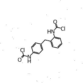 O=C(Cl)Nc1ccc(Cc2ccccc2NC(=O)Cl)cc1